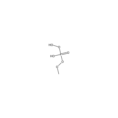 COOP(=O)(O)OO